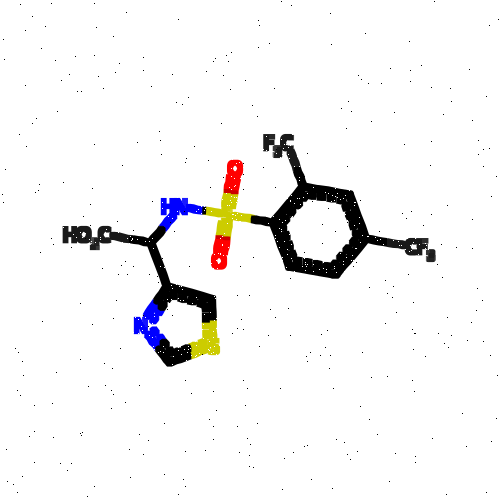 O=C(O)C(NS(=O)(=O)c1ccc(C(F)(F)F)cc1C(F)(F)F)c1cscn1